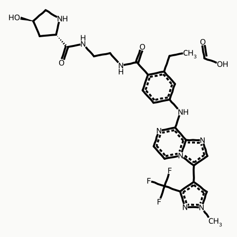 CCc1cc(Nc2nccn3c(-c4cn(C)nc4C(F)(F)F)cnc23)ccc1C(=O)NCCNC(=O)[C@@H]1C[C@@H](O)CN1.O=CO